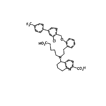 O=C(O)CCCCN(CCc1ccccc1OCc1ccc(-c2ccc(C(F)(F)F)cc2)cc1Cl)C1CCCc2nc(C(=O)O)ccc21